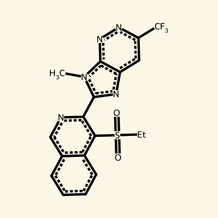 CCS(=O)(=O)c1c(-c2nc3cc(C(F)(F)F)nnc3n2C)ncc2ccccc12